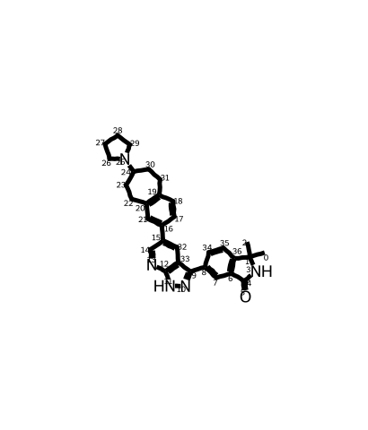 CC1(C)NC(=O)c2cc(-c3n[nH]c4ncc(-c5ccc6c(c5)CCC(N5CCCC5)CC6)cc34)ccc21